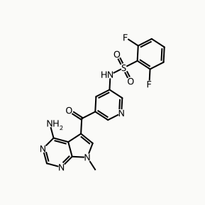 Cn1cc(C(=O)c2cncc(NS(=O)(=O)c3c(F)cccc3F)c2)c2c(N)ncnc21